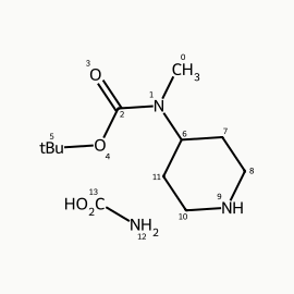 CN(C(=O)OC(C)(C)C)C1CCNCC1.NC(=O)O